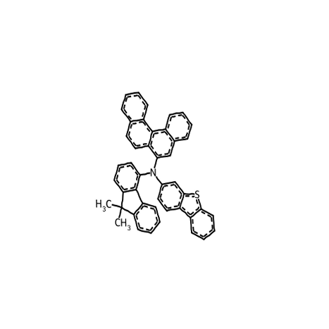 CC1(C)c2ccccc2-c2c(N(c3ccc4c(c3)sc3ccccc34)c3cc4ccccc4c4c3ccc3ccccc34)cccc21